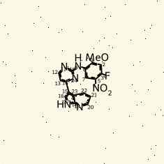 COc1cc(F)c([N+](=O)[O-])cc1Nc1nccc(-c2c[nH]c3ncccc23)n1